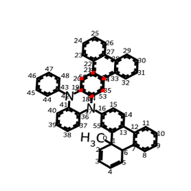 CC12C=CC=CC1c1ccccc1-c1ccc(N(c3ccc4c5ccccc5c5ccccc5c4c3)c3ccccc3N(c3ccccc3)c3ccccc3)cc12